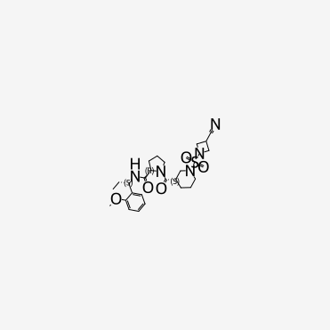 CC[C@H](NC(=O)[C@H]1CCCN1C(=O)[C@H]1CCCN(S(=O)(=O)N2CC(C#N)C2)C1)c1ccccc1OC